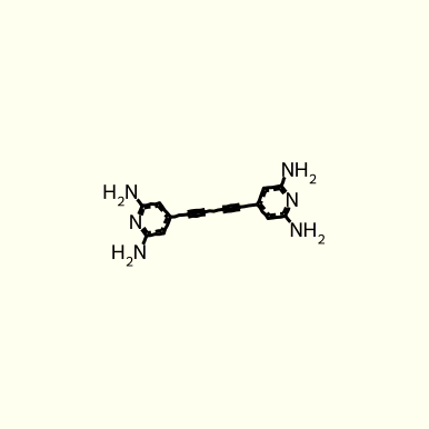 Nc1cc(C#CC#Cc2cc(N)nc(N)c2)cc(N)n1